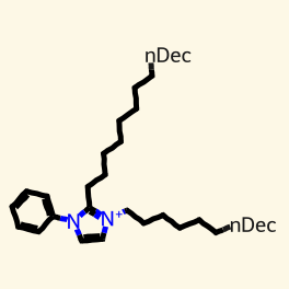 CCCCCCCCCCCCCCCCCCc1n(-c2ccccc2)cc[n+]1CCCCCCCCCCCCCCCC